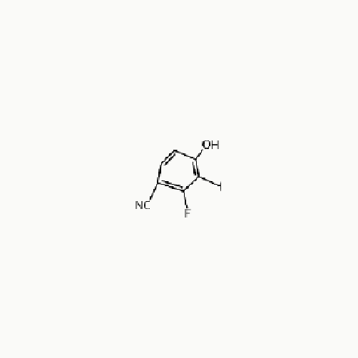 N#Cc1ccc(O)c(I)c1F